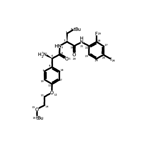 CC(C)(C)C[C@H](NC(=O)[C@H](N)c1ccc(OCCOC(C)(C)C)cc1)C(=O)Nc1ccc(I)cc1F